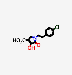 O=C(O)C1=C(O)C(=O)N(CCc2ccc(Cl)cc2)C1